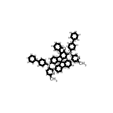 Cc1ccc(N(c2ccc(-c3ccccc3)cc2)c2ccc3c(c2)C2(c4ccccc4-c4ccccc42)c2cc(N(c4ccc(-c5ccccc5)cc4)c4ccc(C)nc4)c4oc5ccccc5c4c2-3)cn1